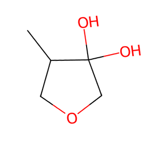 CC1COCC1(O)O